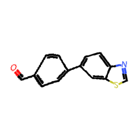 O=Cc1ccc(-c2ccc3ncsc3c2)cc1